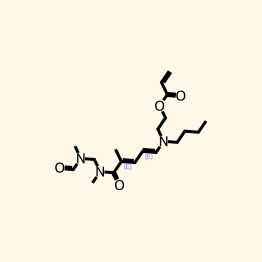 C=CC(=O)OCCN(/C=C/C=C(\C)C(=O)N(C)CN(C)C=O)CCCC